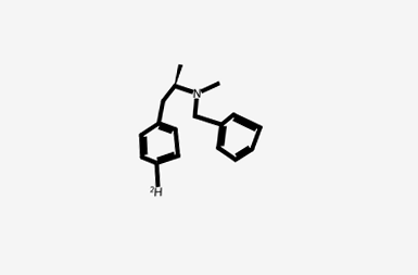 [2H]c1ccc(C[C@@H](C)N(C)Cc2ccccc2)cc1